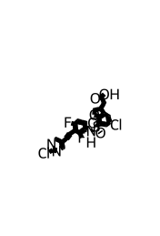 O=C(O)CC1COc2c1cc(Cl)cc2S(=O)(=O)Nc1ccc(F)c(C#Cc2cnc(Cl)nc2)c1F